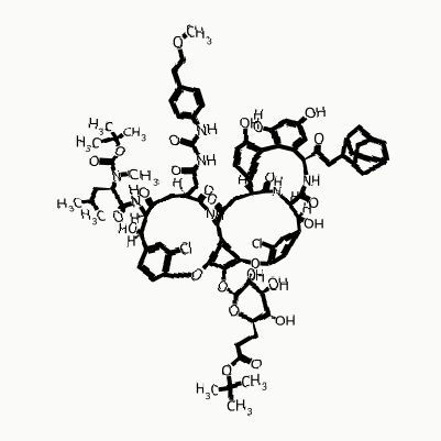 COCCc1ccc(NC(=O)NC(=O)C[C@@H]2CC(=O)[C@H](NC(=O)[C@@H](CC(C)C)N(C)C(=O)OC(C)(C)C)[C@H](O)c3ccc(c(Cl)c3)Oc3cc4cc(c3O[C@@H]3O[C@H](CCC(=O)OC(C)(C)C)[C@@H](O)[C@H](O)[C@H]3O)Oc3ccc(cc3Cl)[C@@H](O)[C@@H]3NC(=O)[C@H](CC(=O)C4NC2=O)c2ccc(O)c(c2)-c2c(O)cc(O)cc2[C@@H](C(=O)CC2C4CC5CC(C4)CC2C5)NC3=O)cc1